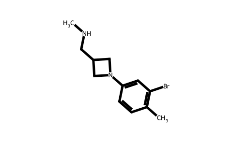 CNCC1CN(c2ccc(C)c(Br)c2)C1